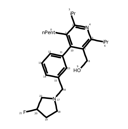 CCCCCc1c(C(C)C)nc(C(C)C)c(CO)c1-c1cccc(CN2CCC(F)C2)c1